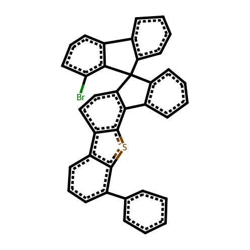 Brc1cccc2c1C1(c3ccccc3-2)c2ccccc2-c2c1ccc1c2sc2c(-c3ccccc3)cccc21